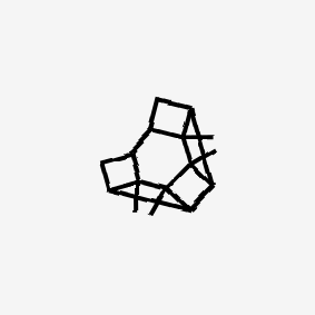 CC12C3CC1C1C4C5CC3C5(C)C4(C)C12C